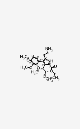 CCOC(=O)c1[nH]c(CCN)c(-c2ccc(OC)c(OC)c2OC)c1CCOC